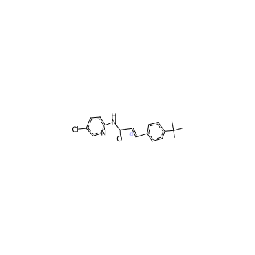 CC(C)(C)c1ccc(/C=C/C(=O)Nc2ccc(Cl)cn2)cc1